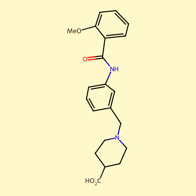 COc1ccccc1C(=O)Nc1cccc(CN2CCC(C(=O)O)CC2)c1